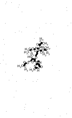 CC(C)C(=O)NC(=NC(=O)OC(C)(C)C)N(CCCO[C@@H]1[C@H](O)[C@@H](COC(=O)C(C)C)O[C@H]1n1cnc2c(=O)[nH]c(N)nc21)C(=O)OC(C)(C)C